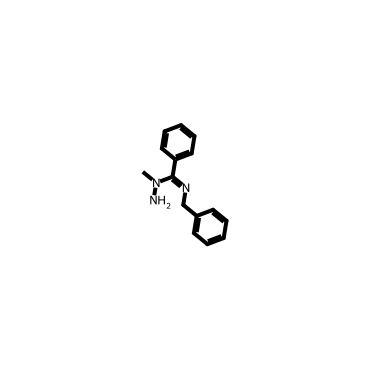 CN(N)/C(=N\Cc1ccccc1)c1ccccc1